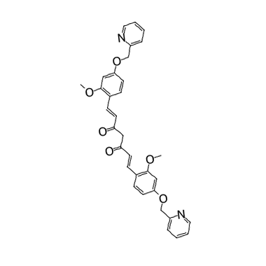 COc1cc(OCc2ccccn2)ccc1C=CC(=O)CC(=O)C=Cc1ccc(OCc2ccccn2)cc1OC